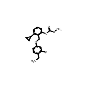 CCc1ccc(OCc2c(OC(=O)OC)cccc2C2CC2)cc1F